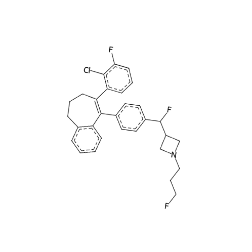 FCCCN1CC(C(F)c2ccc(C3=C(c4cccc(F)c4Cl)CCCc4ccccc43)cc2)C1